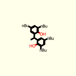 CCCCc1cc(CCCC)c(O)c(C(C)c2cc(CCCC)cc(CCCC)c2O)c1